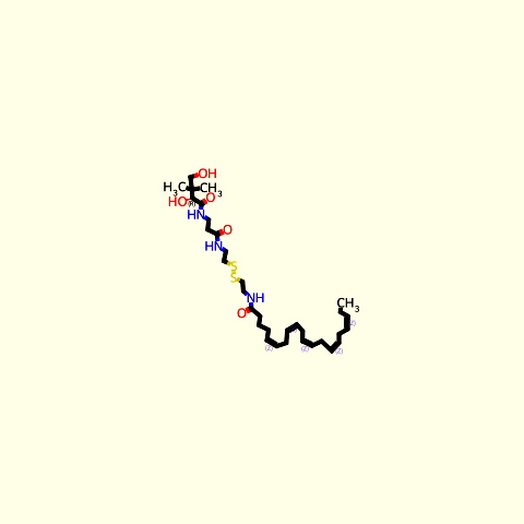 CC/C=C\C/C=C\C/C=C\C/C=C\C/C=C\CCCC(=O)NCCSSCCNC(=O)CCNC(=O)[C@H](O)C(C)(C)CO